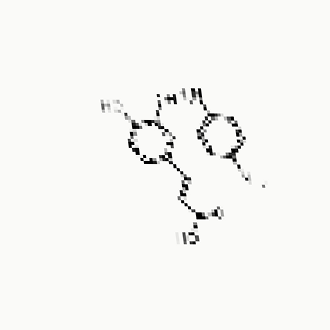 Nc1ccc(N)cc1.O=C(O)C=Cc1ccc(O)c(O)c1